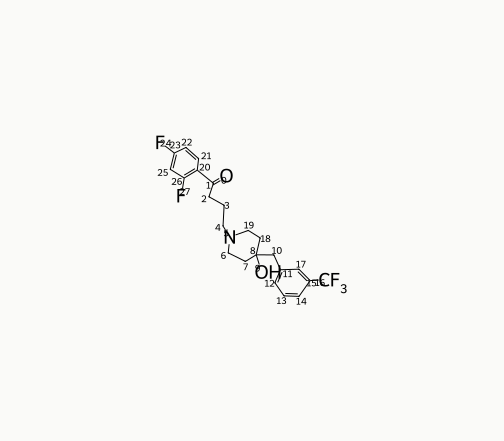 O=C(CCCN1CCC(O)(Cc2cccc(C(F)(F)F)c2)CC1)c1ccc(F)cc1F